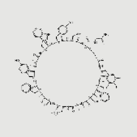 CCCC[C@H]1C(=O)N(C)[C@H](C)C(=O)N[C@@H](CC(=O)O)C(=O)N[C@@H](C(C)C)C(=O)N(C)[C@@H](Cc2ccccc2)C(=O)N[C@@H](Cc2ccc(O)cc2)C(=O)N(C)[C@H](C)C(=O)N[C@@H](Cc2c[nH]c3ccccc23)C(=O)N[C@@H](Cc2ccc(O)cc2)C(=O)N[C@@H](CC(C)C)C(=O)N[C@H](C(=O)NCC(N)=O)CSCC(=O)N[C@@H](Cc2cc(F)c(F)c(F)c2)C(=O)N(C)[C@@H](Cc2ccccc2)C(=O)N1C